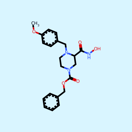 COc1ccc(CN2CCN(C(=O)OCc3ccccc3)CC2C(=O)NO)cc1